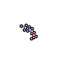 c1ccc(-c2ccc(-c3ccccc3N(c3ccc(-c4cccc5ccccc45)cc3)c3cccc4c3-c3ccccc3C43c4ccccc4N(c4ccccc4)c4ccccc43)cc2)cc1